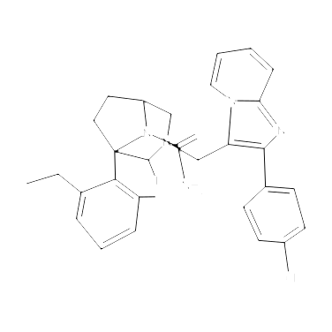 CCc1cccc(C)c1C12CCC(CN(Cc3c(-c4ccc(Cl)cc4)nc4ccccn34)C1I)N2C(N)=O